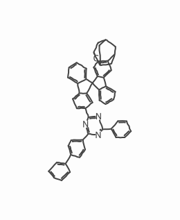 c1ccc(-c2ccc(-c3nc(-c4ccccc4)nc(-c4ccc5c(c4)C4(c6ccccc6-5)c5ccccc5-c5cc6c(cc54)C4CC5CC(CC6C5)C4)n3)cc2)cc1